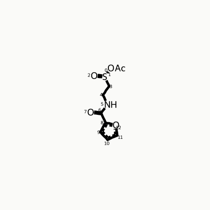 CC(=O)OS(=O)CCNC(=O)c1ccco1